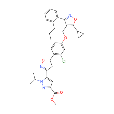 CCCc1ccccc1-c1noc(C2CC2)c1COc1ccc(C2CC(c3cc(C(=O)OC)nn3C(C)C)=NO2)c(Cl)c1